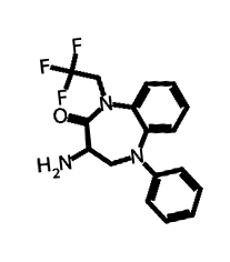 NC1CN(c2ccccc2)c2ccccc2N(CC(F)(F)F)C1=O